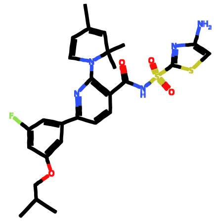 CC1=CC(C)(C)N(c2nc(-c3cc(F)cc(OCC(C)C)c3)ccc2C(=O)NS(=O)(=O)c2nc(N)cs2)C=C1